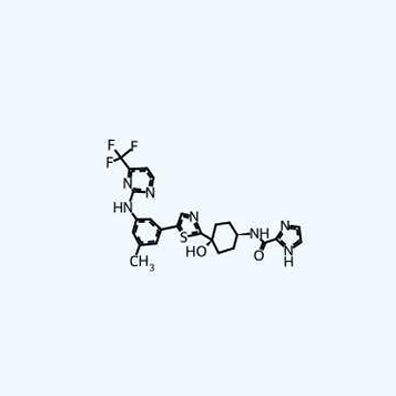 Cc1cc(Nc2nccc(C(F)(F)F)n2)cc(-c2cnc([C@]3(O)CC[C@@H](NC(=O)c4ncc[nH]4)CC3)s2)c1